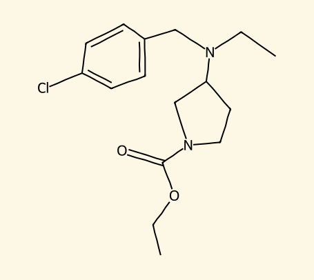 CCOC(=O)N1CCC(N(CC)Cc2ccc(Cl)cc2)C1